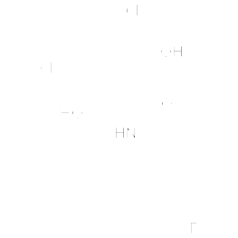 O=C(Nc1ccc(F)cc1)c1c(O)c(Cl)cc(Cl)c1O